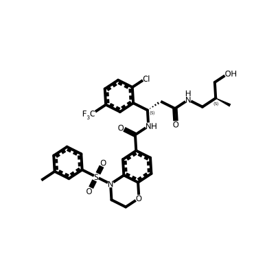 Cc1cccc(S(=O)(=O)N2CCOc3ccc(C(=O)N[C@@H](CC(=O)NC[C@H](C)CO)c4cc(C(F)(F)F)ccc4Cl)cc32)c1